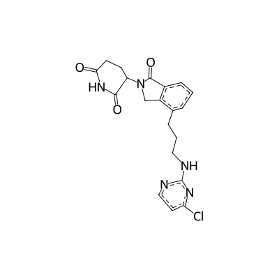 O=C1CCC(N2Cc3c(CCCNc4nccc(Cl)n4)cccc3C2=O)C(=O)N1